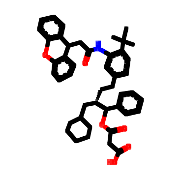 CC(C)(C)c1ccc(CC[C@@H](CC2CCCCC2)C(OC(=O)CC(=O)O)c2ccccc2)cc1NC(=O)CC1c2ccccc2Oc2ccccc21